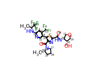 CC(Nc1cc(C(F)F)c(-c2sc(C(=O)N[C@@H]3COC[C@@H]3O)nc2C(=O)N2CCC[C@@H]2C)cn1)C(F)(F)F